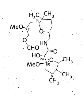 C=C1C[C@](OC)([C@H](O)C(=O)NCC2CCC(C)(C)[C@@H](C[C@@H](COC=O)OC)O2)OC(C)C1C